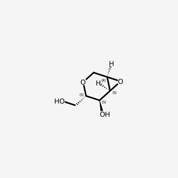 OC[C@@H]1OC[C@H]2O[C@H]2[C@H]1O